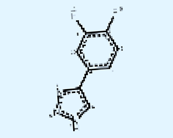 Fc1ccc(-c2c[nH]nn2)cc1F